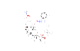 CNC(=O)O[C@H]1C[C@H](OC(=O)Nc2ccccc2)[C@]2(C)[C@H]3CC[C@]4(C)[C@@H](C(C)C5OCC(C)(C)CO5)CC[C@H]4[C@@H]3CC[C@@]2(O)C1